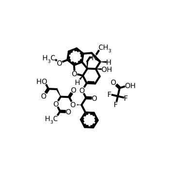 COc1ccc2c3c1O[C@H]1C(OC(=O)[C@@H](OC(=O)[C@H](CC(=O)O)OC(C)=O)c4ccccc4)=CC[C@@]4(O)[C@@H](C2)N(C)CC[C@]314.O=C(O)C(F)(F)F